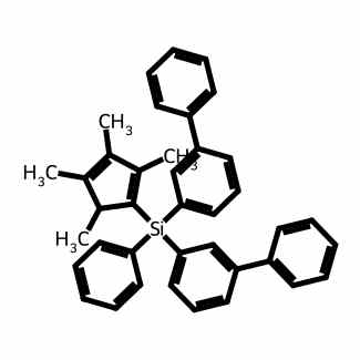 CC1=C(C)C(C)C([Si](c2ccccc2)(c2cccc(-c3ccccc3)c2)c2cccc(-c3ccccc3)c2)=C1C